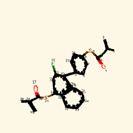 C=C(C)C(=O)Sc1ccc(-c2c(F)cc(SC(=O)C(=C)C)c3ccccc23)cc1